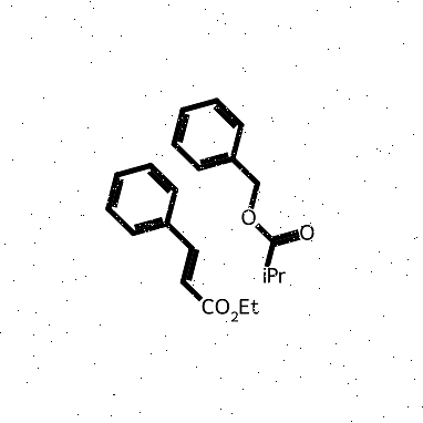 CC(C)C(=O)OCc1ccccc1.CCOC(=O)C=Cc1ccccc1